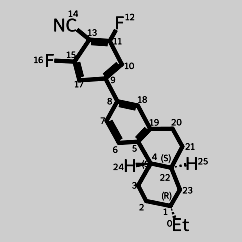 CC[C@@H]1CC[C@@H]2c3ccc(-c4cc(F)c(C#N)c(F)c4)cc3CC[C@H]2C1